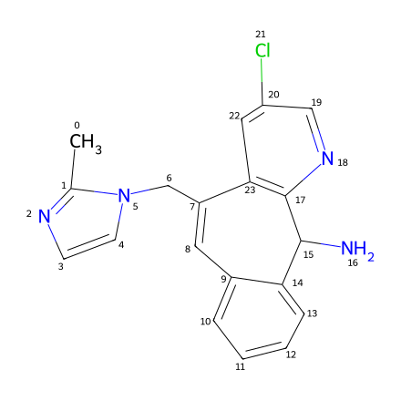 Cc1nccn1CC1=Cc2ccccc2C(N)c2ncc(Cl)cc21